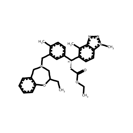 CCOC(=O)C[C@H](c1ccc(C)c(CN2Cc3ccccc3OC(CC)C2)c1)c1ccc2c(nnn2C)c1C